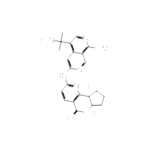 COc1ncc(C(C)(C)N)c2cc(Nc3ccc4c(n3)[C@H]3CCC[C@H]3OC4=O)ncc12